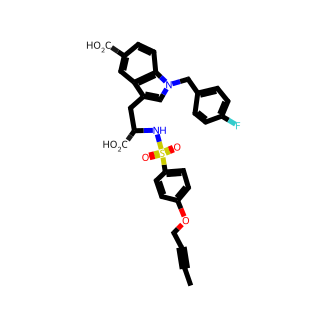 CC#CCOc1ccc(S(=O)(=O)NC(Cc2cn(Cc3ccc(F)cc3)c3ccc(C(=O)O)cc23)C(=O)O)cc1